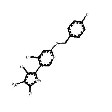 Oc1cc(OCc2ccc(Cl)cc2)ncc1-c1[nH]c(Cl)c(C(F)(F)F)c1Cl